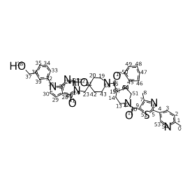 Cc1ccc(-c2nc(C)c(C(=O)N3CC[C@@H](C(=O)N4CCC(O)(Cn5cnc6c(ccn6-c6cccc(CO)c6)c5=O)CC4)[C@H](c4ccccc4)C3)s2)cn1